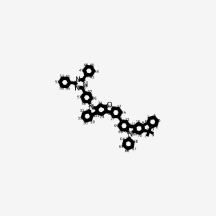 CC1(C)c2ccccc2-c2cc3c4cc(-c5ccc6oc7cc8c(cc7c6c5)c5ccccc5n8-c5ccc(-c6nc(-c7ccccc7)nc(-c7ccccc7)n6)cc5)ccc4n(-c4ccccc4)c3cc21